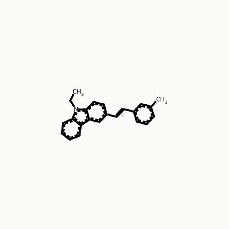 CCn1c2ccccc2c2cc(/C=C/c3cccc(C)c3)ccc21